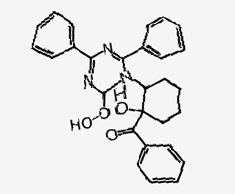 O=C(c1ccccc1)C1(O)CCCCC1N1C(c2ccccc2)=NC(c2ccccc2)=NC1OO